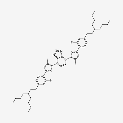 CCCCC(CCCC)CCc1ccc(-c2cc(C)c(-c3ccc(-c4sc(-c5ccc(CCC(CCCC)CCCC)cc5F)cc4C)c4nsnc34)s2)c(F)c1